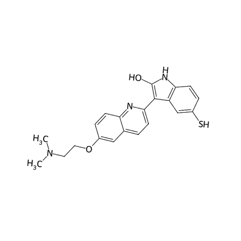 CN(C)CCOc1ccc2nc(-c3c(O)[nH]c4ccc(S)cc34)ccc2c1